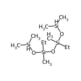 CC[Si](C)(O[SiH](C)C)O[Si](C)(CC)O[SiH](C)C